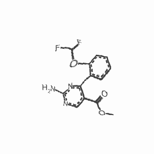 COC(=O)c1cnc(N)nc1-c1ccccc1OC(F)F